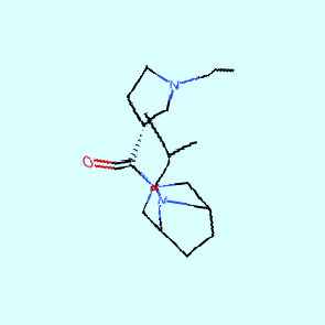 CCN1CC[C@@H](C(=O)N2CC3CCC(C2)N3CC(C)C)C1